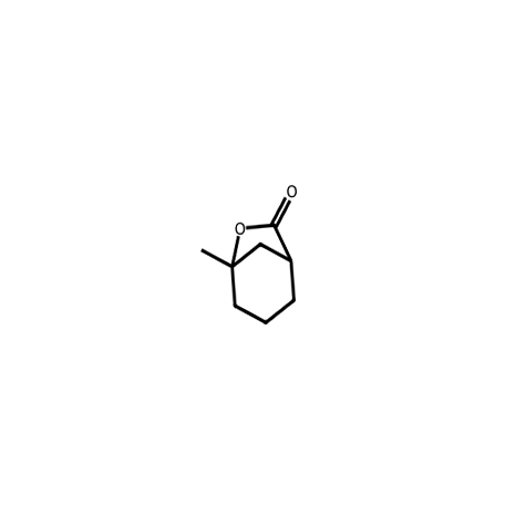 CC12CCCC(C1)C(=O)O2